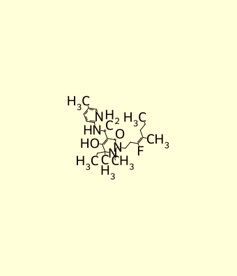 C=C(Nc1ccc(C)cn1)C1=C(O)C(C)(CC)N(C)N(CC/C(F)=C(/C)CCC)C1=O